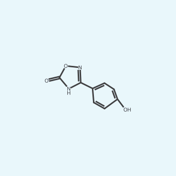 O=c1[nH]c(-c2ccc(O)cc2)no1